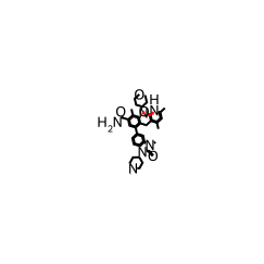 CCN(c1c(C)c(C(N)=O)cc(-c2ccc3c(c2)n(C)c(=O)n3C2CCN(C)CC2)c1Cc1c(C)cc(C)[nH]c1=O)C1CCOCC1